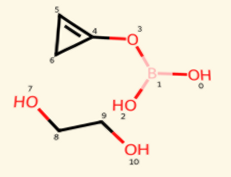 OB(O)OC1=CC1.OCCO